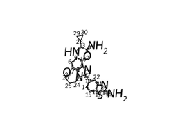 NC(=O)[C@@H](Nc1cc2c3c(c1)nc(-c1ccc4sc(N)nc4c1)n3CCCO2)C1CC1